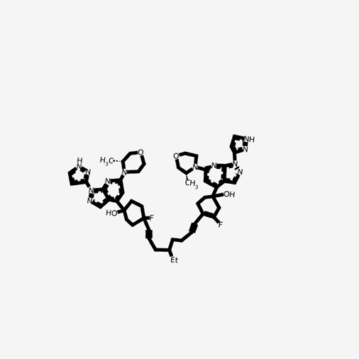 CCC(CC#CC1(F)CCC(O)(c2cc(N3CCOC[C@H]3C)nc3c2cnn3-c2cc[nH]n2)CC1)CCC#CC1=C(F)CC(O)(c2cc(N3CCOC[C@H]3C)nc3c2cnn3-c2cc[nH]n2)CC1